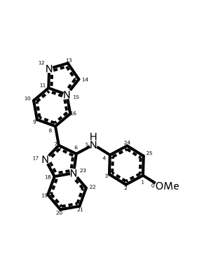 COc1ccc(Nc2c(-c3ccc4nccn4c3)nc3ccccn23)cc1